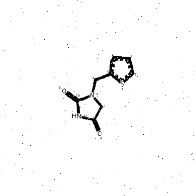 O=C1CN(Cc2cccs2)C(=O)N1